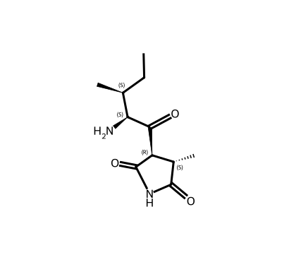 CC[C@H](C)[C@H](N)C(=O)[C@@H]1C(=O)NC(=O)[C@H]1C